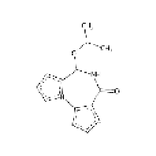 CC(C)OC1NC(=O)c2sccc2-n2cccc21